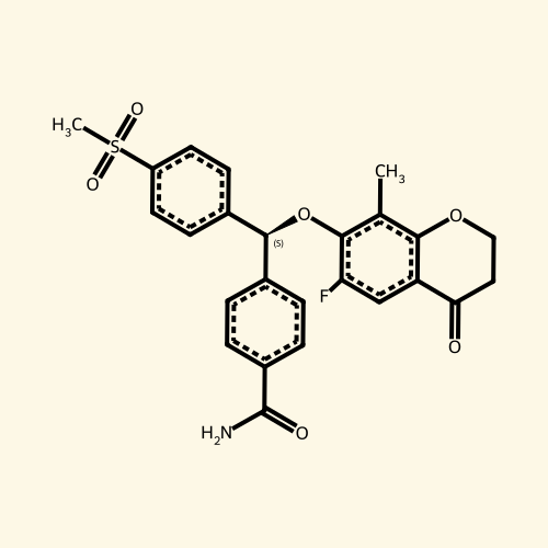 Cc1c(O[C@@H](c2ccc(C(N)=O)cc2)c2ccc(S(C)(=O)=O)cc2)c(F)cc2c1OCCC2=O